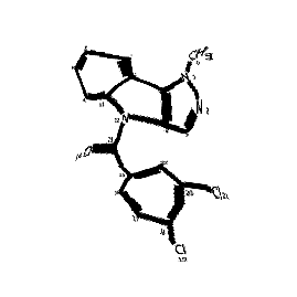 Cn1ncc2c1c1ccccc1n2C(=O)c1ccc(Cl)c(Cl)c1